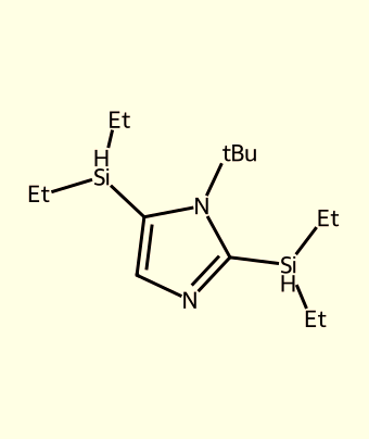 CC[SiH](CC)c1cnc([SiH](CC)CC)n1C(C)(C)C